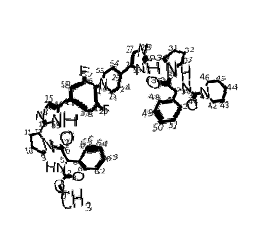 COC(=O)N[C@@H](C(=O)N1CCC[C@H]1c1ncc(-c2cc(F)c(N3CCC(c4cnc([C@@H]5CCCN5C(=O)[C@H](NC(=O)N5CCCCC5)c5ccccc5)[nH]4)CC3)c(F)c2)[nH]1)c1ccccc1